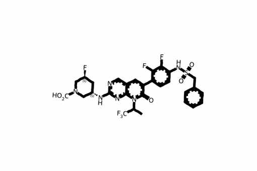 CC(n1c(=O)c(-c2ccc(NS(=O)(=O)Cc3ccccc3)c(F)c2F)cc2cnc(N[C@H]3C[C@H](F)CN(C(=O)O)C3)nc21)C(F)(F)F